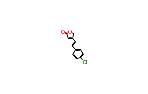 O=C1C=C(C=Cc2ccc(Cl)cc2)CO1